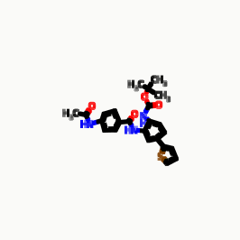 CC(=O)Nc1ccc(C(=O)Nc2cc(-c3cccs3)ccc2NC(=O)OC(C)(C)C)cc1